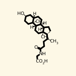 C[C@H](CCC(=O)NCC(=O)O)[C@H]1CC[C@H]2[C@@H]3CC[C@H]4C[C@@H](O)CC[C@]4(C)[C@H]3CC[C@]12C